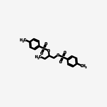 CCC(COS(=O)(=O)c1ccc(C)cc1)OS(=O)(=O)c1ccc(C)cc1